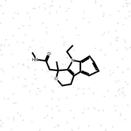 CCn1c2c(c3ccccc31)CCOC2(C)CC(=O)NC